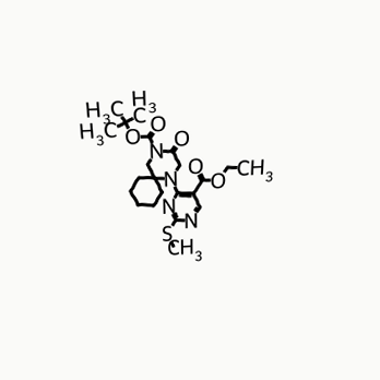 CCOC(=O)c1cnc(SC)nc1N1CC(=O)N(C(=O)OC(C)(C)C)CC12CCCCC2